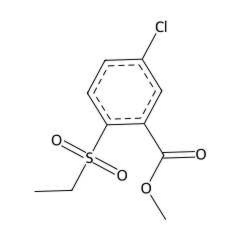 CCS(=O)(=O)c1ccc(Cl)cc1C(=O)OC